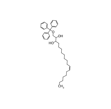 CCCCCC/C=C\CCCCCCCCC(O)C(O)COC(c1ccccc1)(c1ccccc1)c1ccccc1